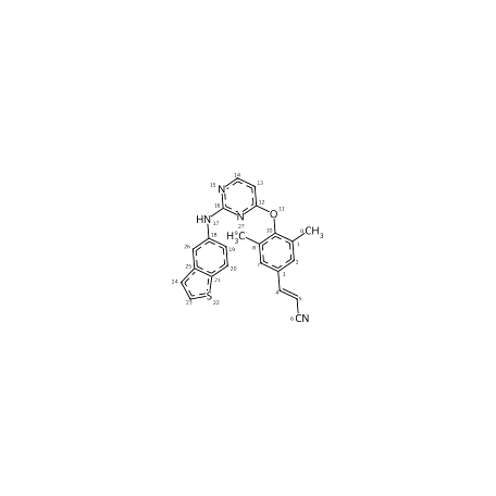 Cc1cc(/C=C/C#N)cc(C)c1Oc1ccnc(Nc2ccc3sccc3c2)n1